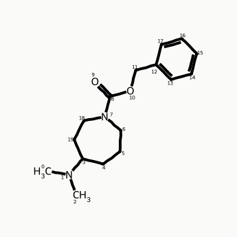 CN(C)C1CCCN(C(=O)OCc2ccccc2)CC1